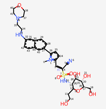 Cn1c(/C=C(\C#N)S(=O)(=O)N[C@H]2C(CCO)O[C@H](CO)[C@@H](O)[C@@H]2O)ccc1-c1ccc2cc(NCCN3CCOCC3)ccc2c1